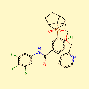 O=C(Nc1cc(F)c(F)c(F)c1)c1ccc(Cl)c(S(=O)(=O)[C@H]2C3CCC2C[C@H](COCc2ccccn2)C3)c1